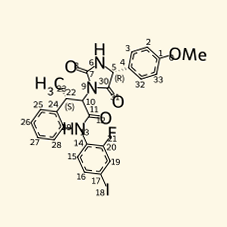 COc1ccc([C@H]2NC(=O)N(C(C(=O)Nc3ccc(I)cc3F)[C@@H](C)c3ccccc3)C2=O)cc1